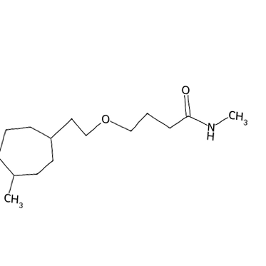 CNC(=O)CCCOCCC1CCCC(C)CC1